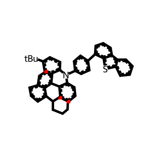 CC(C)(C)c1ccc(N(c2ccc(-c3cccc4c3sc3ccccc34)cc2)c2ccccc2-c2cccc3cccc(C4CCCCC4)c23)cc1